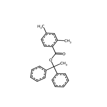 Cc1ccc(C(=O)OC(C)(c2ccccc2)c2ccccc2)c(C)c1